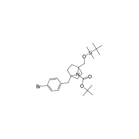 CC(C)(C)OC(=O)N1C2(CO[Si](C)(C)C(C)(C)C)CCC1(Cc1ccc(Br)cc1)CC2